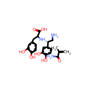 C=C(C)C(N)=O.NC(Cc1ccc(O)c(O)c1)C(=O)O.NCCc1ccc(O)c(O)c1